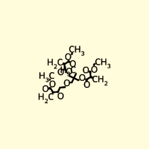 C=C(C(=O)CCOCC(CC)(COC(=O)C(=C)C(=O)OCC)COC(=O)C(=C)C(=O)OCC)C(=O)OCC